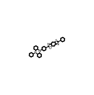 c1ccc(-c2nc3cc4oc(-c5ccc(N6c7ccccc7N(c7ccccc7)c7ccccc76)cc5)nc4cc3s2)cc1